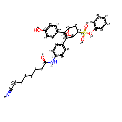 N#C[Se]CCCCCC(=O)Nc1ccc(C2=C(c3ccc(O)cc3)C3CC(S(=O)(=O)Oc4ccccc4)C2O3)cc1